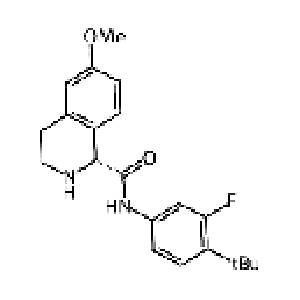 COc1ccc2c(c1)CCN[C@H]2C(=O)Nc1ccc(C(C)(C)C)c(F)c1